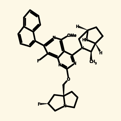 COc1nc(-c2cccc3ccccc23)c(F)c2nc(OC[C@@]34CCCN3C[C@H](F)C4)nc(N3C[C@H]4CC[C@H](N4)[C@H]3C)c12